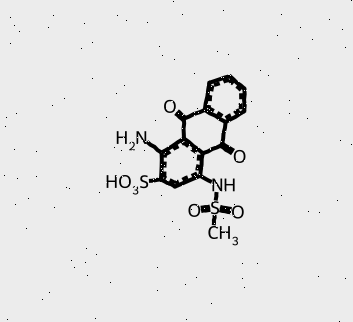 CS(=O)(=O)Nc1cc(S(=O)(=O)O)c(N)c2c1C(=O)c1ccccc1C2=O